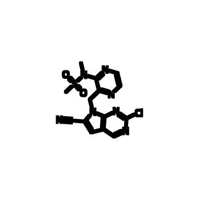 CN(c1nccnc1Cn1c(C#N)cc2cnc(Cl)nc21)S(C)(=O)=O